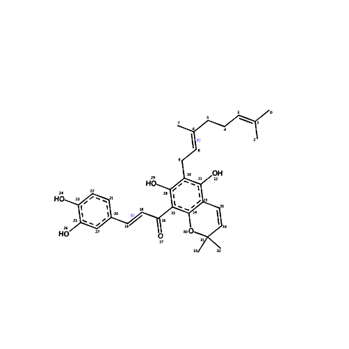 CC(C)=CCC/C(C)=C/Cc1c(O)c2c(c(C(=O)/C=C/c3ccc(O)c(O)c3)c1O)OC(C)(C)C=C2